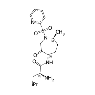 CC(C)C[C@H](N)C(=O)N[C@H]1CC[C@H](C)N(S(=O)(=O)c2ccccn2)CC1=O